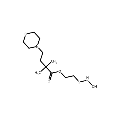 CC(C)(CCN1CCOCC1)C(=O)OCCSPO